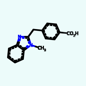 Cn1c(Cc2ccc(C(=O)O)cc2)nc2ccccc21